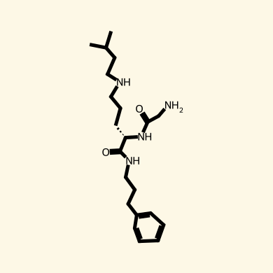 CC(C)CCNCCC[C@H](NC(=O)CN)C(=O)NCCCc1ccccc1